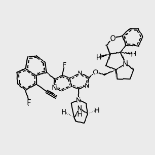 C#Cc1c(F)ccc2cccc(-c3ncc4c(N5C[C@H]6CC[C@@H](C5)N6)nc(OC[C@]56CCCN5[C@H]5c7ccccc7OC[C@H]5C6)nc4c3F)c12